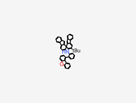 CC(C)(C)C1=C(Nc2ccccc2-c2cccc3oc4ccccc4c23)C2(C=CC=C3C2=Cc2ccccc23)C2=Cc3ccccc3C2=C1